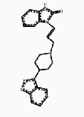 O=c1[nH]c2ccccc2n1C=CCN1CCC(c2nsc3ccccc23)CC1